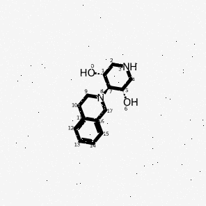 O[C@@H]1CNC[C@H](O)[C@H]1N1CCc2ccccc2C1